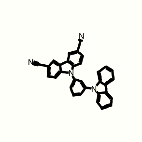 N#Cc1ccc2c(c1)c1cc(C#N)ccc1n2-c1cccc(-n2c3ccccc3c3ccccc32)c1